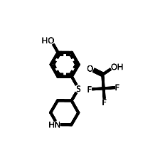 O=C(O)C(F)(F)F.Oc1ccc(SC2CCNCC2)cc1